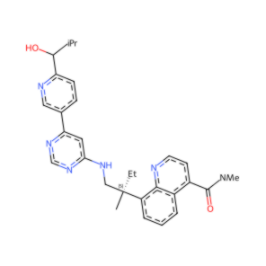 CC[C@](C)(CNc1cc(-c2ccc(C(O)C(C)C)nc2)ncn1)c1cccc2c(C(=O)NC)ccnc12